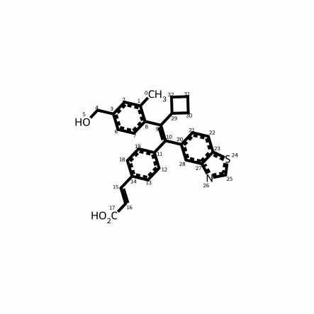 Cc1cc(CO)ccc1C(=C(c1ccc(C=CC(=O)O)cc1)c1ccc2scnc2c1)C1CCC1